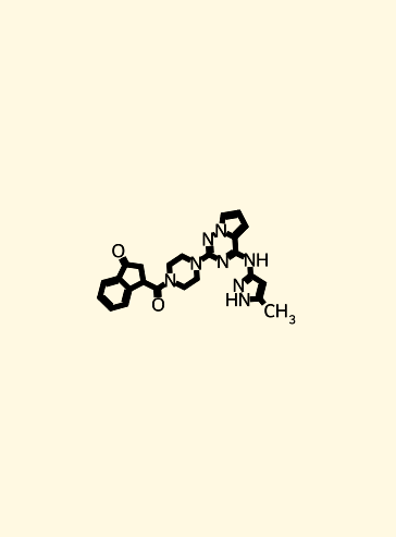 Cc1cc(Nc2nc(N3CCN(C(=O)C4CC(=O)c5ccccc54)CC3)nn3cccc23)n[nH]1